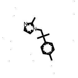 Cc1ccc(C(C)(C)Cn2ccnc2C)cc1